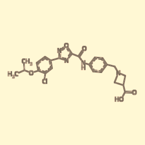 CC(C)Oc1ccc(-c2noc(C(=O)Nc3ccc(CN4CC(C(=O)O)C4)cc3)n2)cc1Cl